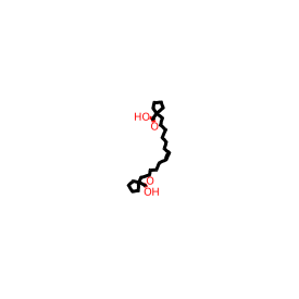 O=C(O)C1(CCCCC/C=C\CCCCCCC2(C(=O)O)CCCC2)CCCC1